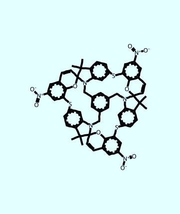 CSc1cc([N+](=O)[O-])cc2c1OC1(C=C2)N(Cc2cc(CN3c4ccccc4C(C)(C)C34C=Cc3cc([N+](=O)[O-])cc(SC)c3O4)cc(CN3c4ccccc4C(C)(C)C34C=Cc3cc([N+](=O)[O-])cc(SC)c3O4)c2)c2ccccc2C1(C)C